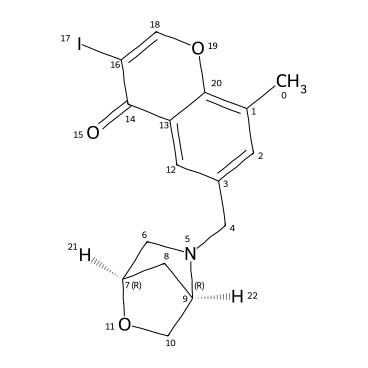 Cc1cc(CN2C[C@H]3C[C@@H]2CO3)cc2c(=O)c(I)coc12